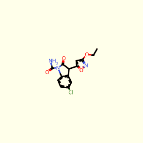 CCOc1cc(C2C(=O)N(C(N)=O)c3ccc(Cl)cc32)on1